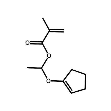 C=C(C)C(=O)OC(C)OC1=CCCC1